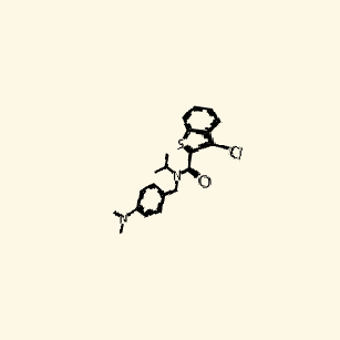 CC(C)N(Cc1ccc(N(C)C)cc1)C(=O)c1sc2ccccc2c1Cl